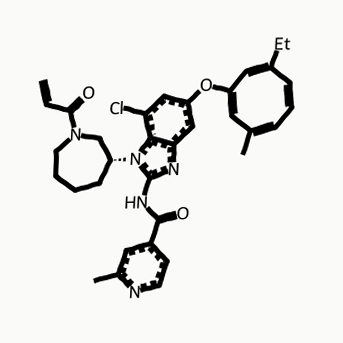 C=CC(=O)N1CCCC[C@@H](n2c(NC(=O)c3ccnc(C)c3)nc3cc(OC4=C/C(C)=C\C=C/C(CC)=C\4)cc(Cl)c32)C1